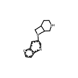 c1cc2ncc(N3CC4CCNCC43)cc2o1